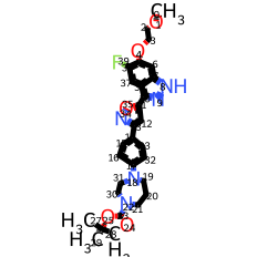 COCCOc1cc2[nH]nc(-c3cc(-c4ccc(N5CCCN(C(=O)OC(C)(C)C)CC5)cc4)no3)c2cc1F